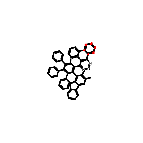 Cc1cc2c(c(-c3c(-c4nnnc(-c5ccccc5)c4-c4ccccc4-c4ccccc4)c(F)c(-c4ccccc4)c(-c4ccccc4)c3-c3ccccc3)c1C)Cc1ccccc1-2